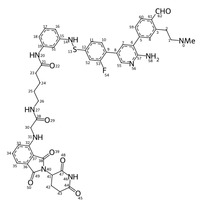 CNCCc1cc(-c2cc(-c3ccc(SNc4cccc(NC(=O)CCCCNC(=O)CNc5cccc6c5C(=O)N(C5CCC(=O)NC5=O)C6=O)c4)cc3F)cnc2N)ccc1C=O